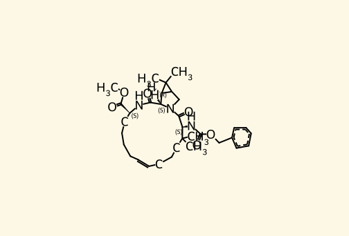 COC(=O)[C@@H]1CCCCC=CCCCC(C)(C)[C@H](NC(=O)OCc2ccccc2)C(=O)N2CC3[C@@H]([C@H]2C(=O)N1)C3(C)C